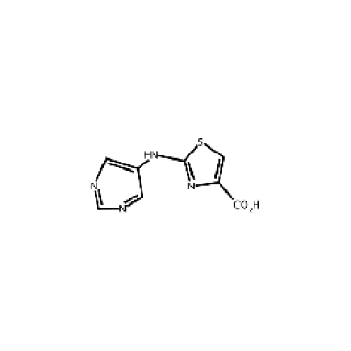 O=C(O)c1csc(Nc2cncnc2)n1